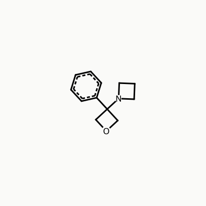 c1ccc(C2(N3CCC3)COC2)cc1